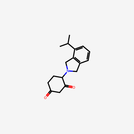 CC(C)c1cccc2c1CN(C1CCC(=O)CC1=O)C2